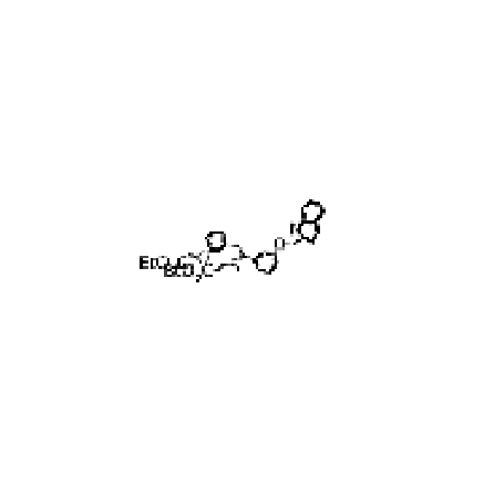 CCOC(=O)CCSC(Cc1cccc(OCC(=O)OCC)c1)c1cccc(OCc2ccc3ccccc3n2)c1